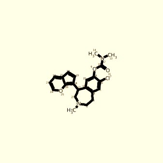 CN1CCc2cc(Cl)c(OC(=O)N(C)C)cc2C(c2ccc3cccoc2-3)C1